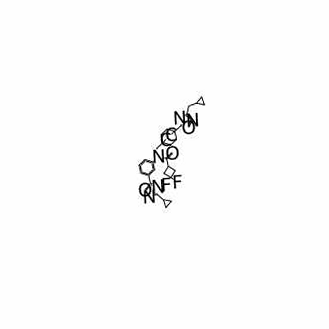 O=C(C1CC(F)(F)C1)N(CC12CCC(c3nc(CC4CC4)no3)(CC1)CC2)c1cccc(-c2nc(C3CC3)no2)c1